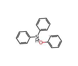 [c]1ccccc1O[SiH](c1ccccc1)c1ccccc1